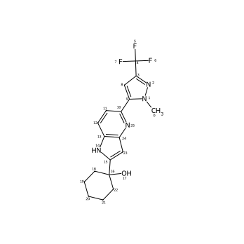 Cn1nc(C(F)(F)F)cc1-c1ccc2[nH]c(C3(O)CCCCC3)cc2n1